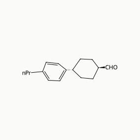 CCCc1ccc([C@H]2CC[C@H](C=O)CC2)cc1